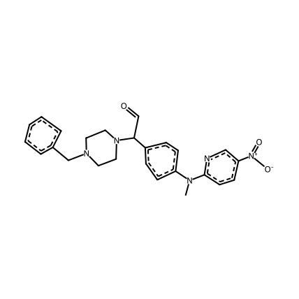 CN(c1ccc(C(C=O)N2CCN(Cc3ccccc3)CC2)cc1)c1ccc([N+](=O)[O-])cn1